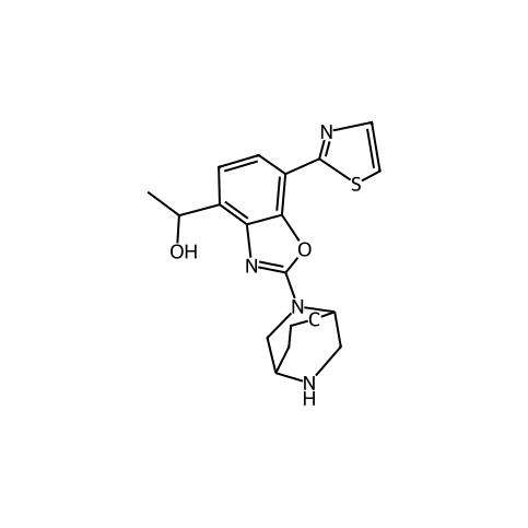 CC(O)c1ccc(-c2nccs2)c2oc(N3CC4CCCC3CN4)nc12